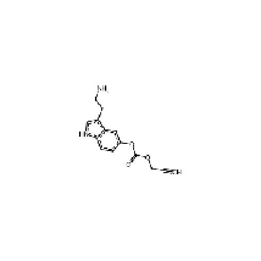 C#CCOC(=O)Oc1ccc2[nH]cc(CCN)c2c1